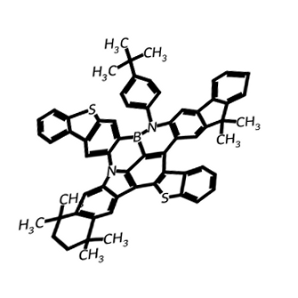 CC(C)(C)c1ccc(N2B3c4cc5sc6ccccc6c5cc4-n4c5cc6c(cc5c5c7sc8ccccc8c7c(c3c54)-c3cc4c(cc32)-c2ccccc2C4(C)C)C(C)(C)CCC6(C)C)cc1